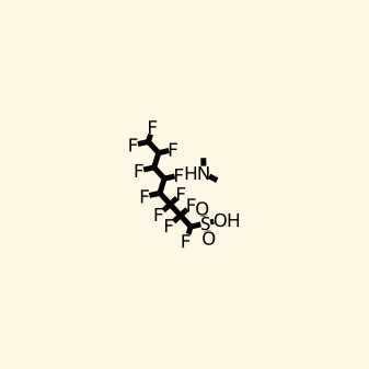 CNC.O=S(=O)(O)C(F)C(F)(F)C(F)(F)C(F)C(F)C(F)C(F)C(F)F